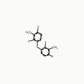 Cc1c(F)ccc(Sc2ccc(F)c(C)c2F)c1F